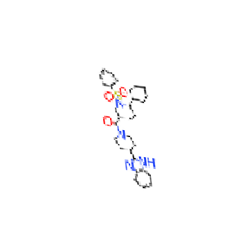 O=C(C1CCC(C2CCCCC2)N(S(=O)(=O)c2ccccc2)C1)N1CCC(c2nc3ccccc3[nH]2)CC1